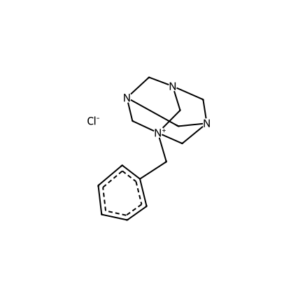 [Cl-].c1ccc(C[N+]23CN4CN(CN(C4)C2)C3)cc1